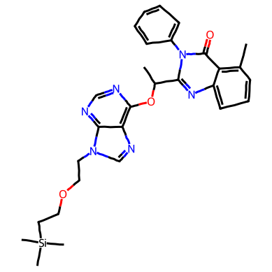 Cc1cccc2nc(C(C)Oc3ncnc4c3ncn4CCOCC[Si](C)(C)C)n(-c3ccccc3)c(=O)c12